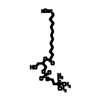 CCCCCCCCCCCCCCCCCCCCCC(=O)OC(CO)COP(=O)([O-])OCC[N+](C)(C)C